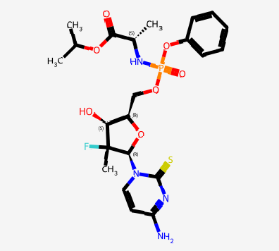 CC(C)OC(=O)[C@H](C)NP(=O)(OC[C@H]1O[C@@H](n2ccc(N)nc2=S)C(C)(F)[C@H]1O)Oc1ccccc1